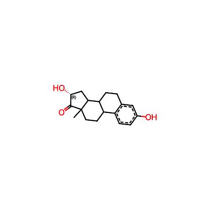 CC12CCC3c4ccc(O)cc4CCC3C1C[C@@H](O)C2=O